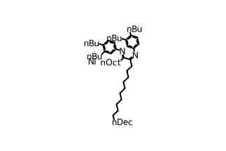 CCCCCCCCCCCCCCCCCCCCC(=Nc1ccc(CCCC)c(CCCC)c1)C(CCCCCCCC)=Nc1ccc(CCCC)c(CCCC)c1.[Ni]